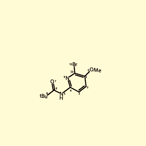 COc1ccc(NC(=O)C(C)(C)C)nc1Br